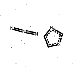 [N-]=[N+]=[N-].c1cscn1